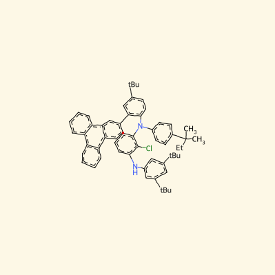 CCC(C)(C)c1ccc(N(c2ccc(C(C)(C)C)cc2-c2ccc3c4ccccc4c4ccccc4c3c2)c2cccc(Nc3cc(C(C)(C)C)cc(C(C)(C)C)c3)c2Cl)cc1